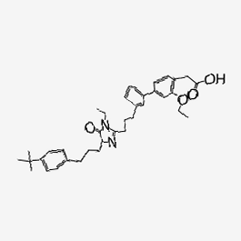 CCOc1cc(-c2cccc(CCCC3=NC(CCCc4ccc(C(C)(C)C)cc4)C(=O)N3CC)c2)ccc1CC(=O)O